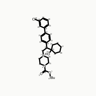 CC(C)(C)OC(=O)N1CCN(CC(c2ccc(-c3cccc(Cl)c3)cc2)C2(O)CCCCC2)CC1